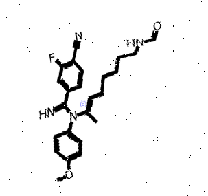 COc1ccc(N(C(=N)c2ccc(C#N)c(F)c2)/C(C)=C/CCCCCNC=O)cc1